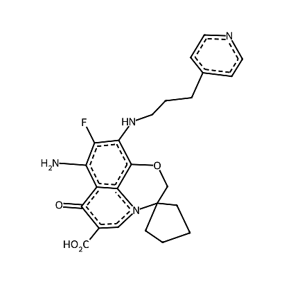 Nc1c(F)c(NCCCc2ccncc2)c2c3c1c(=O)c(C(=O)O)cn3C1(CCCC1)CO2